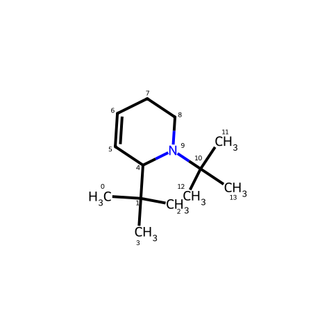 CC(C)(C)C1C=CCCN1C(C)(C)C